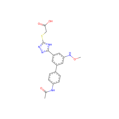 CONc1cc(-c2ccc(NC(C)=O)cc2)cc(-c2nnc(SCC(=O)O)[nH]2)c1